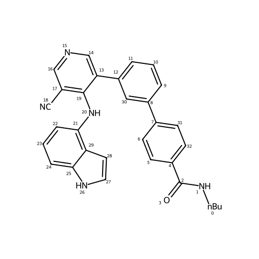 CCCCNC(=O)c1ccc(-c2cccc(-c3cncc(C#N)c3Nc3cccc4[nH]ccc34)c2)cc1